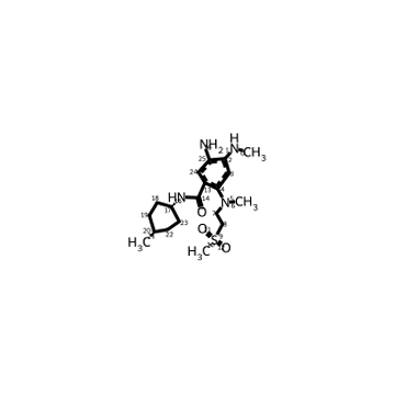 CNc1cc(N(C)CCS(C)(=O)=O)c(C(=O)N[C@H]2CC[C@H](C)CC2)cc1N